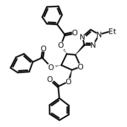 CCn1cnc([C@H]2O[C@@H](OC(=O)c3ccccc3)[C@H](OC(=O)c3ccccc3)[C@@H]2OC(=O)c2ccccc2)n1